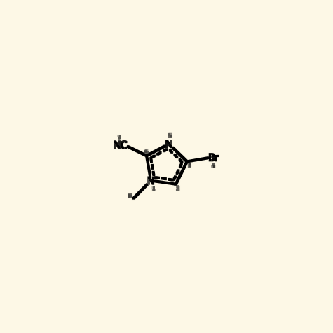 Cn1cc(Br)nc1C#N